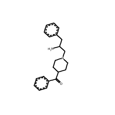 NC(Cc1ccccc1)CN1CCC(C(=O)c2ccccc2)CC1